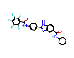 O=C(NC1CCCCC1)c1ccc2[nH]c(-c3ccc(NC(=O)c4c(F)c(F)c(F)c(F)c4F)cc3)nc2c1